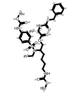 CC(C)CN(C(CCCCNC(=O)OC(C)(C)C)COC(=O)[C@@H](NC(=O)OCc1ccccc1)C(C)C)S(=O)(=O)c1ccc(NC(=O)OC(C)(C)C)cc1